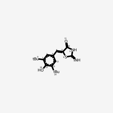 CC(C)(C)c1cc(/C=C2\SC(=N)NC2=O)cc(C(C)(C)C)c1O